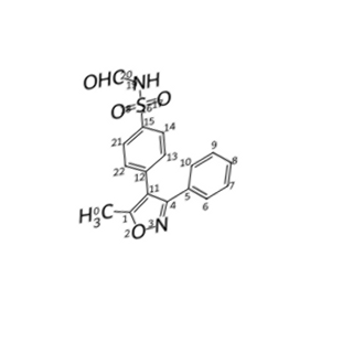 Cc1onc(-c2ccccc2)c1-c1ccc(S(=O)(=O)NC=O)cc1